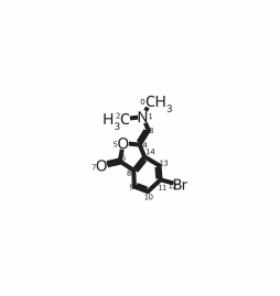 CN(C)C=C1OC(=O)c2ccc(Br)cc21